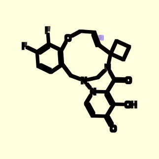 O=C1c2c(O)c(=O)ccn2N2Cc3ccc(F)c(F)c3OC/C=C/C3(CCC3)N1C2